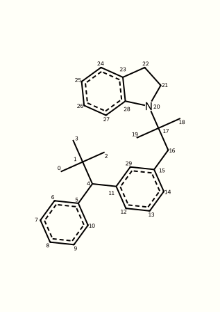 CC(C)(C)C(c1ccccc1)c1cccc(CC(C)(C)N2CCc3ccccc32)c1